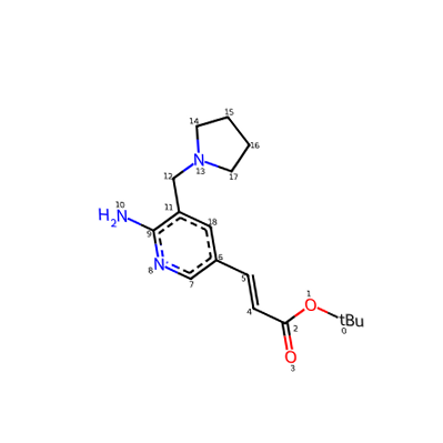 CC(C)(C)OC(=O)C=Cc1cnc(N)c(CN2CCCC2)c1